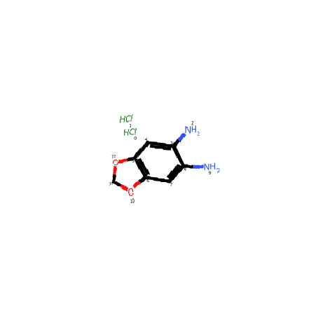 Cl.Cl.Nc1cc2c(cc1N)OCO2